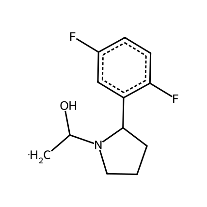 [CH2]C(O)N1CCCC1c1cc(F)ccc1F